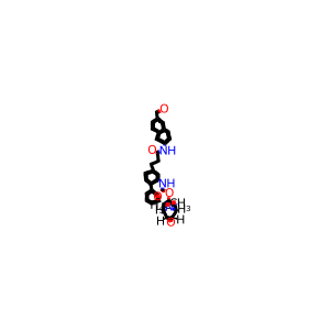 C[N+]1(C)[C@@H]2CC(OC(=O)Nc3cc(CCC(=O)Nc4ccc5cc(C=O)ccc5c4)ccc3-c3ccccc3)C[C@H]1[C@@H]1O[C@@H]12